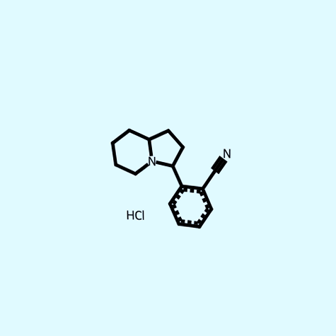 Cl.N#Cc1ccccc1C1CCC2CCCCN21